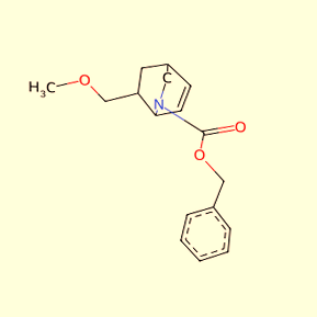 COCC1CC2C=CC1N(C(=O)OCc1ccccc1)C2